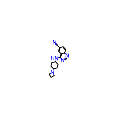 N#Cc1ccc2ncnc(N[C@H]3CC[C@H](N4CCC4)CC3)c2c1